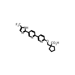 O=C(O)C1(COc2ccc(-c3ccc(-c4ncc(C(F)(F)F)[nH]4)cn3)cn2)CCCC1